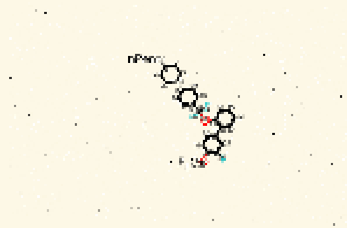 CCCCC[C@H]1CC[C@H](c2ccc(C(F)(F)Oc3ccccc3-c3ccc(OC(F)(F)F)c(F)c3)cc2)CC1